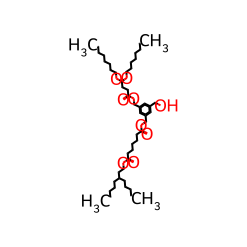 CCCCCCCCOC(CCC(=O)OCc1cc(CO)cc(COC(=O)CCCCCC(=O)OCCC(CCCCC)CCCCC)c1)OCCCCCCCC